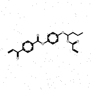 C=CC(=O)OC(CCC)Oc1ccc(OC(=O)c2ccc(C(=O)C=C)cc2)cc1